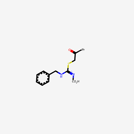 CC(C)C(=O)CS/C(=N/C(=O)O)NCc1ccccc1